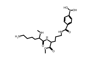 CNC(CCCCN)C(=O)NC(CCCNC(=O)c1ccc(B(O)O)cc1)C(=O)OC